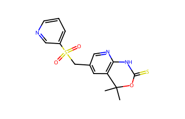 CC1(C)OC(=S)Nc2ncc(CS(=O)(=O)c3cccnc3)cc21